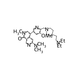 CCN(CC)CCC1CCN(Cc2ncc(-c3cn(C)c(=O)c4cnc(N(C)C)cc34)cc2OC)CC1